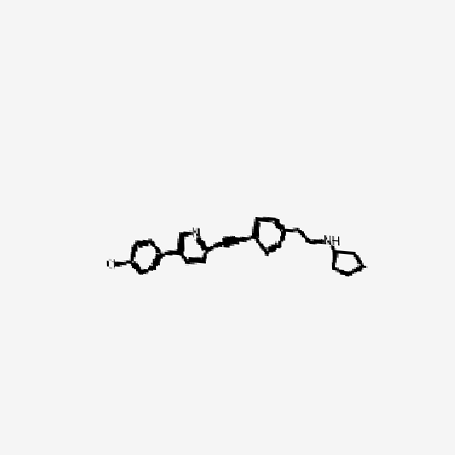 Clc1ccc(-c2ccc(C#Cc3ccc(CCNC4CCCC4)cc3)nc2)cc1